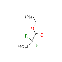 CCCCCCCOC(=O)C(F)(F)S(=O)(=O)O